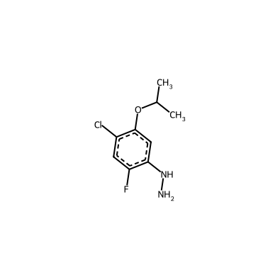 CC(C)Oc1cc(NN)c(F)cc1Cl